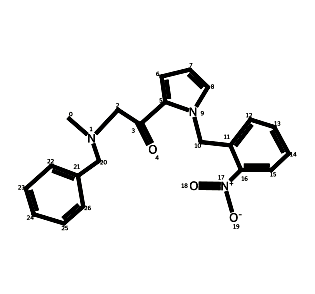 CN(CC(=O)c1cccn1Cc1ccccc1[N+](=O)[O-])Cc1ccccc1